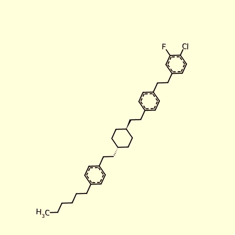 CCCCCCc1ccc(CC[C@H]2CC[C@H](CCc3ccc(CCc4ccc(Cl)c(F)c4)cc3)CC2)cc1